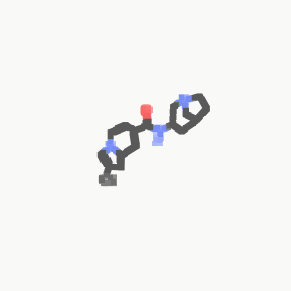 N#Cc1cc2cc(C(=O)N[C@@H]3CC4CCN(C4)C3)ccn2c1